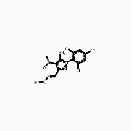 CC(C)ON=Cc1nn(-c2c(Cl)cc(C(F)(F)F)cc2Cl)c(N)c1[S+](C)[O-]